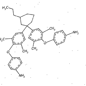 CCCC1CCCC(c2cc(C)c(Oc3ccc(N)cc3)c(C)c2)(c2cc(C)c(Oc3ccc(N)cc3)c(C)c2)C1